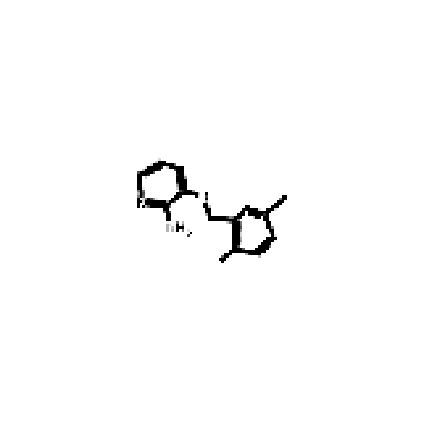 Cc1ccc(C)c(COc2cccnc2N)c1